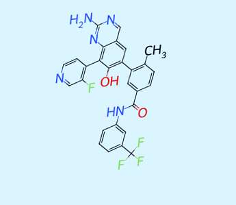 Cc1ccc(C(=O)Nc2cccc(C(F)(F)F)c2)cc1-c1cc2cnc(N)nc2c(-c2ccncc2F)c1O